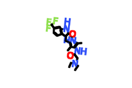 CCN(CC)CC(=O)Nc1c(C)[nH]c(/C=C2\C(=O)Nc3cc(C(F)(F)F)ccc32)c1C